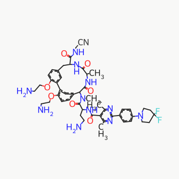 Cc1nc(-c2ccc(N3CCC(F)(F)CC3)cc2)nc(C)c1C(=O)NC(CCN)C(=O)N(C)C1C(=O)NC(C)C(=O)NC(C(=O)NCC#N)Cc2ccc(OCCN)c(c2)-c2cc1ccc2OCCN